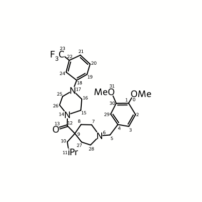 COc1ccc(CN2CCC(CC(C)C)(C(=O)N3CCN(c4cccc(C(F)(F)F)c4)CC3)CC2)cc1OC